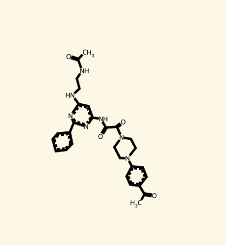 CC(=O)NCCNc1cc(NC(=O)C(=O)N2CCN(c3ccc(C(C)=O)cc3)CC2)nc(-c2ccccc2)n1